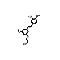 COc1cc(C=Cc2ccc(OC)c(N)c2)cc(OCCO)c1